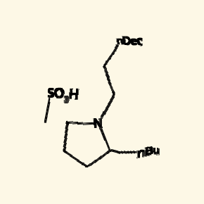 CCCCCCCCCCCCN1CCCC1CCCC.CS(=O)(=O)O